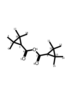 CC1(C)C(C(=O)OC(=O)C2C(C)(C)C2(C)C)C1(C)C